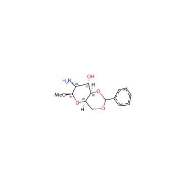 CO[C@@H]1O[C@@H]2COC(c3ccccc3)O[C@@H]2[C@@H](O)[C@@H]1N